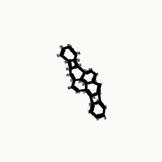 c1ccc2c(c1)c1cc3ccc4c5c6ccccc6c5cc5ccc(c21)c3c54